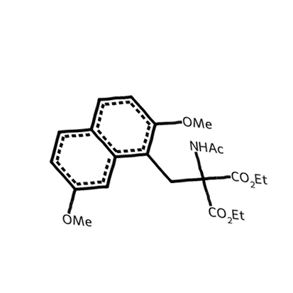 CCOC(=O)C(Cc1c(OC)ccc2ccc(OC)cc12)(NC(C)=O)C(=O)OCC